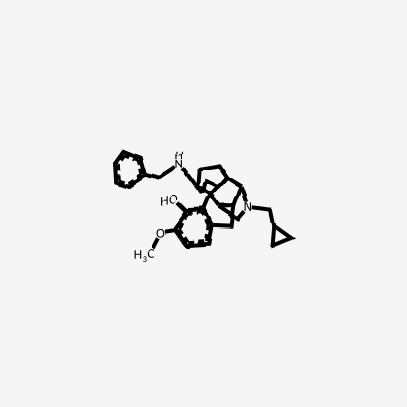 COc1ccc2c(c1O)C13C4CCC1(CCC4NCc1ccccc1)C1C(C2)C3CN1CC1CC1